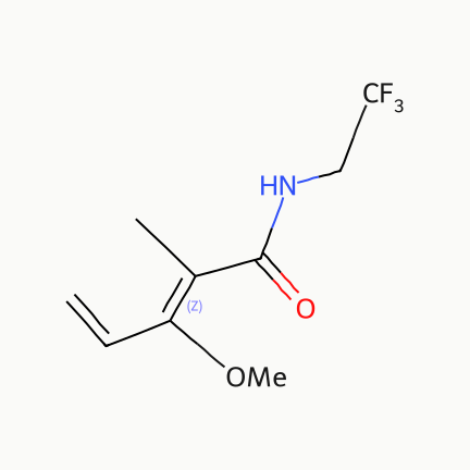 C=C/C(OC)=C(\C)C(=O)NCC(F)(F)F